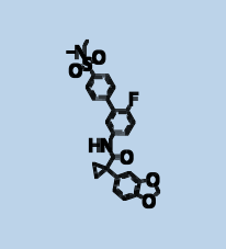 CN(C)S(=O)(=O)c1ccc(-c2cc(NC(=O)C3(c4ccc5c(c4)OCO5)CC3)ccc2F)cc1